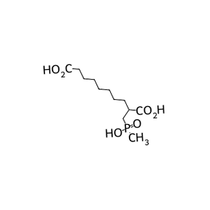 CP(=O)(O)CC(CCCCCCCC(=O)O)C(=O)O